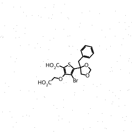 O=C(O)COc1c(C(=O)O)sc(C2(Cc3ccccc3)COCO2)c1Br